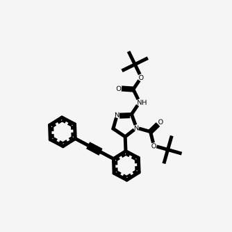 CC(C)(C)OC(=O)NC1=NCC(c2ccccc2C#Cc2ccccc2)N1C(=O)OC(C)(C)C